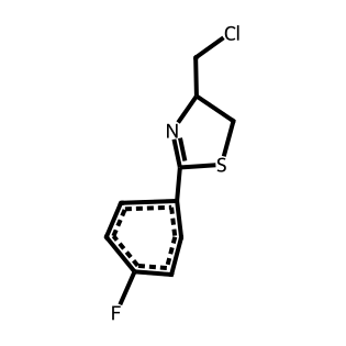 Fc1ccc(C2=NC(CCl)CS2)cc1